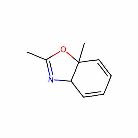 CC1=NC2C=CC=CC2(C)O1